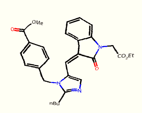 CCCCc1ncc(C=C2C(=O)N(CC(=O)OCC)c3ccccc32)n1Cc1ccc(C(=O)OC)cc1